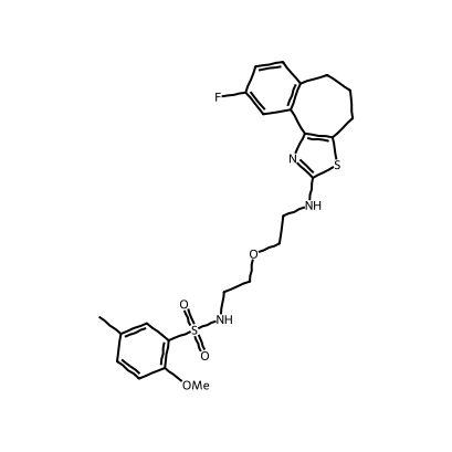 COc1ccc(C)cc1S(=O)(=O)NCCOCCNc1nc2c(s1)CCCc1ccc(F)cc1-2